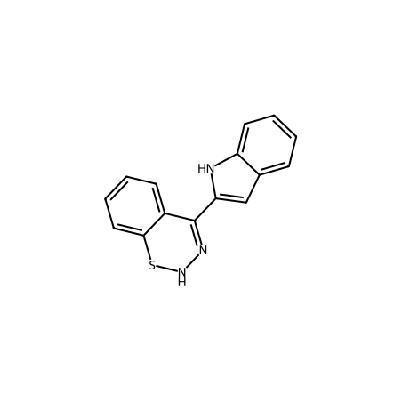 c1ccc2c(c1)SNN=C2c1cc2ccccc2[nH]1